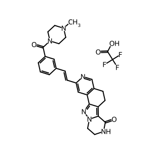 CN1CCN(C(=O)c2cccc(/C=C/c3cc4c(cn3)CCc3c-4nn4c3C(=O)NCC4)c2)CC1.O=C(O)C(F)(F)F